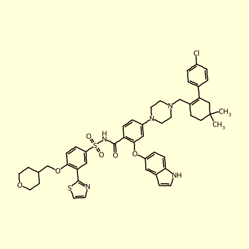 CC1(C)CCC(CN2CCN(c3ccc(C(=O)NS(=O)(=O)c4ccc(OCC5CCOCC5)c(-c5nccs5)c4)c(Oc4ccc5[nH]ccc5c4)c3)CC2)=C(c2ccc(Cl)cc2)C1